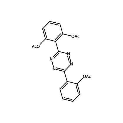 CC(=O)Oc1ccccc1-c1nnc(-c2c(OC(C)=O)cccc2OC(C)=O)nn1